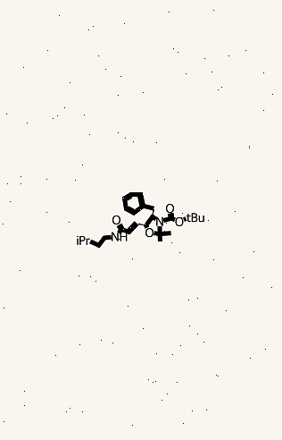 CC(C)CCNC(=O)C=C[C@H]1OC(C)(C)N(C(=O)OC(C)(C)C)[C@H]1Cc1ccccc1